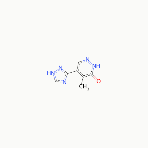 Cc1c(-c2nc[nH]n2)cn[nH]c1=O